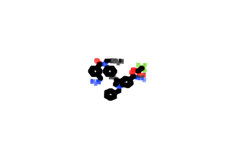 CC(=O)c1cn(Cc2ccccc2)c2ccc(C(N)=O)cc12.NCc1cccc(C(=O)N(CC(=O)O)c2ccccc2)c1.O=C(O)C(F)(F)F